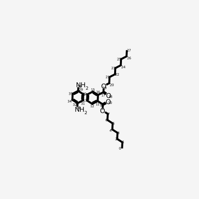 CCCCCCCCOC(=O)c1ccccc1C(=O)OCCCCCCCC.Nc1ccc(N)cc1